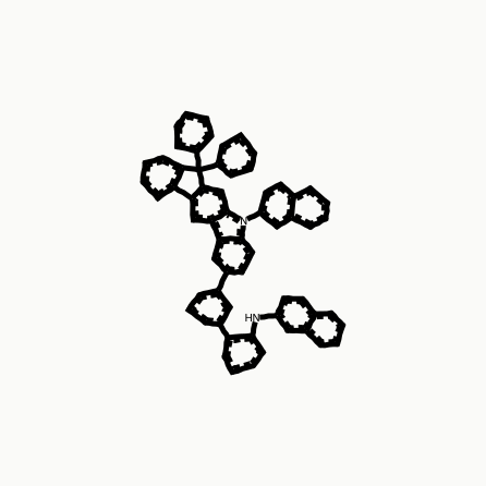 c1ccc(C2(c3ccccc3)c3ccccc3-c3cc4c5cc(-c6cccc(-c7ccccc7Nc7ccc8ccccc8c7)c6)ccc5n(-c5ccc6ccccc6c5)c4cc32)cc1